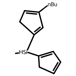 CCCCC1=CCC([SiH](C)C2=CC=CC2)=C1